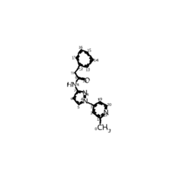 Cc1cc(-n2ccc(NC(=O)Cc3ccccc3)n2)ccn1